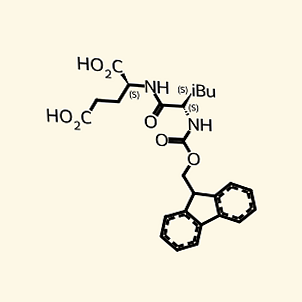 CC[C@H](C)[C@H](NC(=O)OCC1c2ccccc2-c2ccccc21)C(=O)N[C@@H](CCC(=O)O)C(=O)O